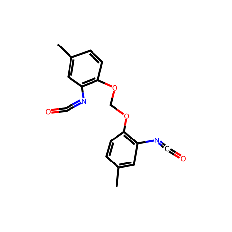 Cc1ccc(OCOc2ccc(C)cc2N=C=O)c(N=C=O)c1